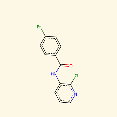 O=C(Nc1cccnc1Cl)c1ccc(Br)cc1